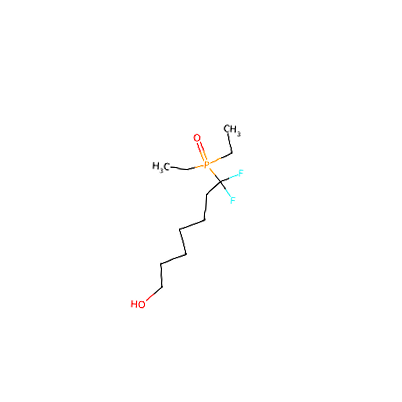 CCP(=O)(CC)C(F)(F)CCCCCCO